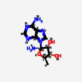 C[C@H]1O[C@@](N)(n2cnc3c(N)ncnc32)[C@H](O)[C@@H]1O